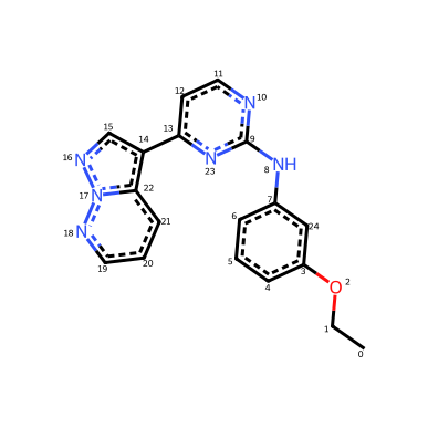 CCOc1cccc(Nc2nccc(-c3cnn4ncccc34)n2)c1